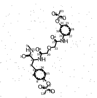 CNC(=O)C(Cc1ccc(OS(C)(=O)=O)cc1)NC(=O)COCC(=O)Nc1cccc(OS(C)(=O)=O)c1